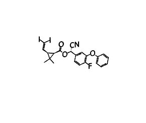 CC1(C)[C@H](C(=O)O[C@H](C#N)c2ccc(F)c(Oc3ccccc3)c2)[C@@H]1C=C(I)I